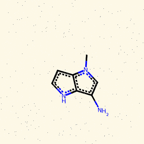 Cn1cc(N)c2[nH]ccc21